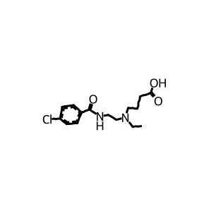 CCN(CCCC(=O)O)CCNC(=O)c1ccc(Cl)cc1